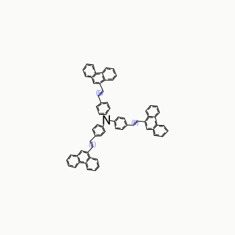 C(=C\c1cc2ccccc2c2ccccc12)/c1ccc(N(c2ccc(/C=C/c3cc4ccccc4c4ccccc34)cc2)c2ccc(/C=C/c3cc4ccccc4c4ccccc34)cc2)cc1